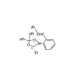 CCCC1(CCC)O[C@@H](CC)N(c2ccccc2C=O)[C@H]1CC(C)C